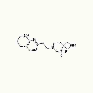 FC1(F)CN(CCc2ccc3c(n2)NCCC3)CCC12CNC2